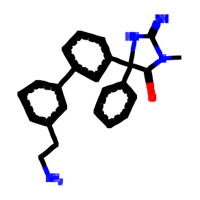 CN1C(=N)NC(c2ccccc2)(c2cccc(-c3cccc(CCN)c3)c2)C1=O